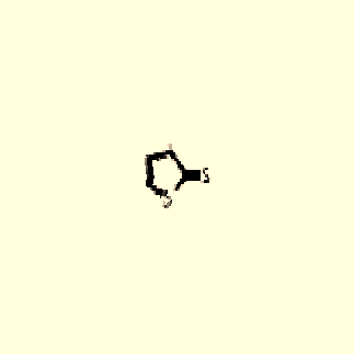 S=C1[CH]CCS1